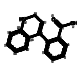 O=C(O)c1ccccc1C1=CCNc2ccccc21